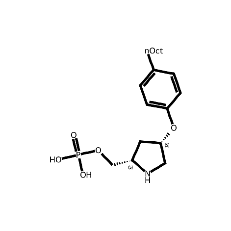 CCCCCCCCc1ccc(O[C@@H]2CN[C@H](COP(=O)(O)O)C2)cc1